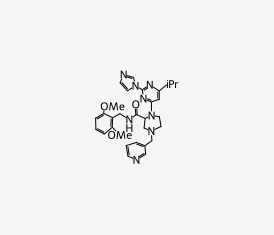 COc1cccc(OC)c1CNC(=O)C1CN(Cc2cccnc2)CCN1c1cc(C(C)C)nc(-n2ccnc2)n1